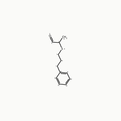 CC(C=O)SCCCc1ccccc1